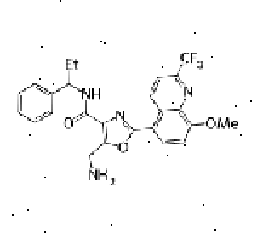 CCC(NC(=O)c1nc(-c2ccc(OC)c3nc(C(F)(F)F)ccc23)oc1CN)c1ccccc1